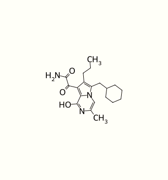 CCCc1c(C(=O)C(N)=O)c2c(O)nc(C)cn2c1CC1CCCCC1